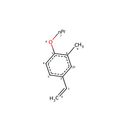 C=Cc1ccc(OCCC)c(C)c1